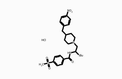 CC(C)(C)C(CN1CCC(Cc2ccc([N+](=O)[O-])cc2)CC1)NC(=O)c1ccc(S(C)(=O)=O)cc1.Cl